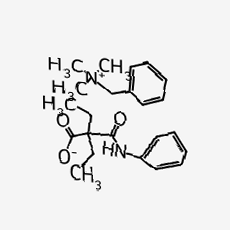 CCC(CC)(C(=O)[O-])C(=O)Nc1ccccc1.C[N+](C)(C)Cc1ccccc1